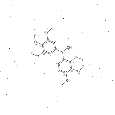 COc1cc(C(O)c2ccc(OC)c(OC)c2OC)cc(OC)c1OC